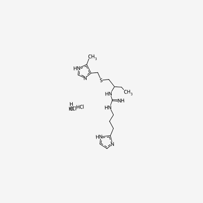 CCC(CSCc1nc[nH]c1C)NC(=N)NCCCc1ncc[nH]1.Cl.Cl.Cl